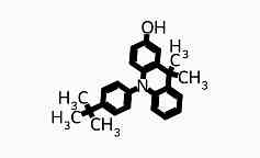 CC(C)(C)c1ccc(N2c3ccccc3C(C)(C)c3cc(O)ccc32)cc1